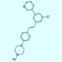 CC(=O)N1CCN(c2ccc(C=Cc3cc(Cl)cc(-c4cccnc4)c3)cc2)CC1